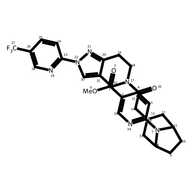 COC(=O)c1ccc(N2C3CCC2CN(CC(=O)N2CCc4nn(-c5ccc(C(F)(F)F)cn5)cc4C2)C3)nc1